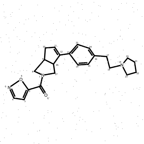 O=C(c1ccno1)N1CC2CC=C(c3ccc(CCN4CCCC4)cc3)C2C1